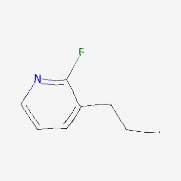 [CH2]CCc1cccnc1F